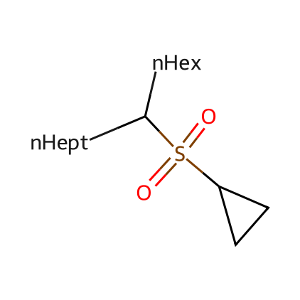 CCCCCCCC(CCCCCC)S(=O)(=O)C1CC1